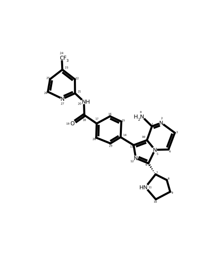 Nc1nccn2c([C@@H]3CCCN3)nc(-c3ccc(C(=O)Nc4cc(C(F)(F)F)ccn4)cc3)c12